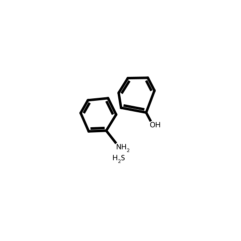 Nc1ccccc1.Oc1ccccc1.S